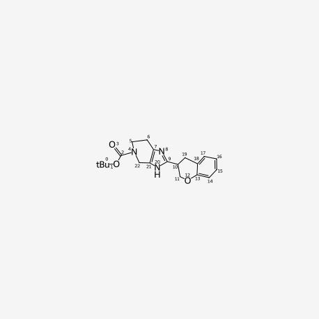 CC(C)(C)OC(=O)N1CCc2nc(C3COc4ccccc4C3)[nH]c2C1